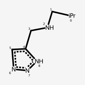 CC(C)CNCc1cnn[nH]1